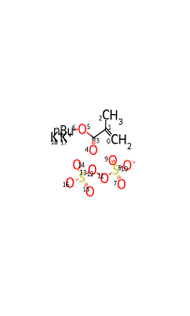 C=C(C)C(=O)OCCCC.O=S(=O)([O-])OOS(=O)(=O)[O-].[K+].[K+]